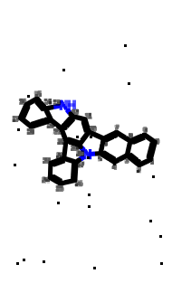 c1ccc2cc3c(cc2c1)c1cc2[nH]c4ccccc4c2c2c4ccccc4n3c12